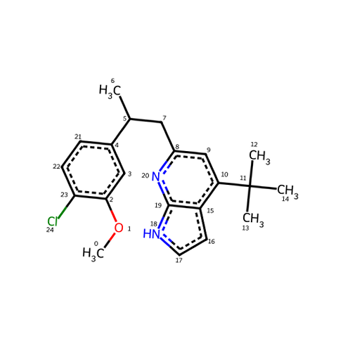 COc1cc(C(C)Cc2cc(C(C)(C)C)c3cc[nH]c3n2)ccc1Cl